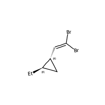 CC[C@@H]1C[C@H]1C=C(Br)Br